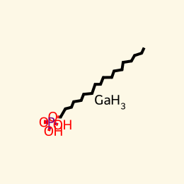 CCCCCCCCCCCCCCCCCCOP(=O)(O)O.[GaH3]